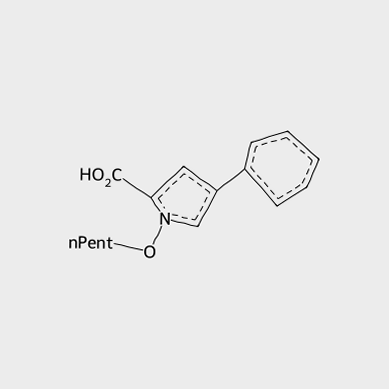 CCCCCOn1cc(-c2ccccc2)cc1C(=O)O